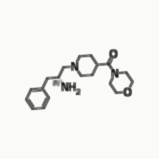 N[C@H](Cc1ccccc1)CN1CCC(C(=O)N2CCOCC2)CC1